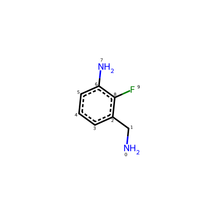 NCc1cccc(N)c1F